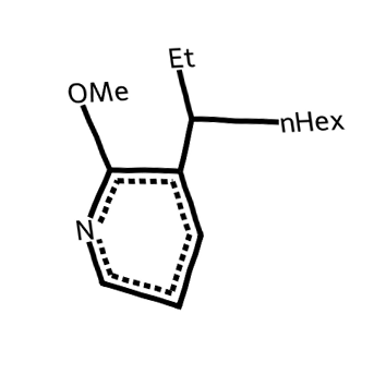 CCCCCCC(CC)c1cccnc1OC